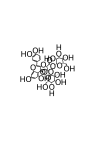 O=C(OC1O[C@H](CO)[C@@H](O)[C@H](O)[C@H]1O)C(Oc1c(-c2ccc(O)c(O)c2)oc2cc(O)cc(O)c2c1=O)C(=O)OC1O[C@H](CO)[C@@H](O)[C@H](O)[C@H]1O